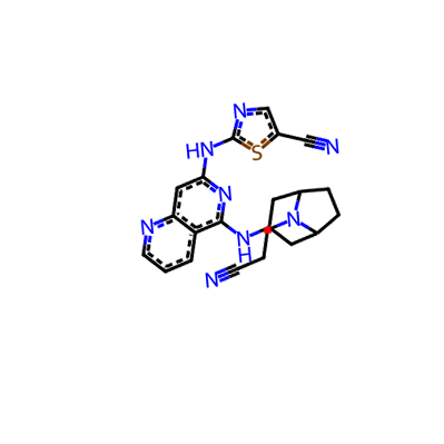 N#CCCN1C2CCC1CC(Nc1nc(Nc3ncc(C#N)s3)cc3ncccc13)C2